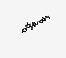 Cc1nc(Nc2ncc(/C=C/c3ccc4nc(N)sc4c3)s2)cc(N2CCN(C)CC2)n1